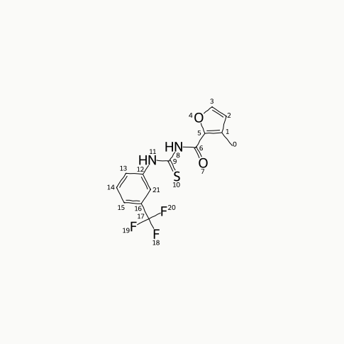 Cc1ccoc1C(=O)NC(=S)Nc1cccc(C(F)(F)F)c1